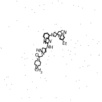 CCc1cnn(C2(CC#N)CN(c3cccn4nc(NC5=CN(CC(=O)N6CCN(C)CC6)NC5)nc34)C2)c1